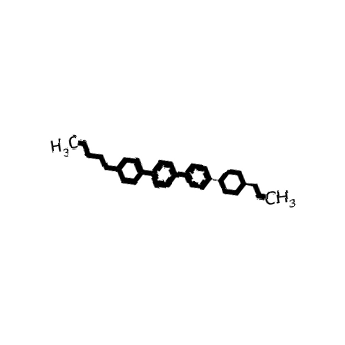 CCCCCC1CC=C(c2ccc(-c3ccc([C@H]4CC[C@H](CCC)CC4)cc3)cc2)CC1